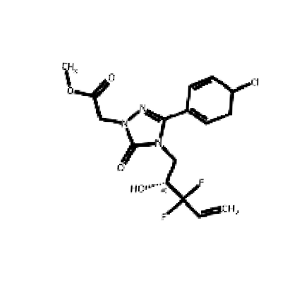 C=CC(F)(F)[C@H](O)Cn1c(C2=CCC(Cl)C=C2)nn(CC(=O)OC)c1=O